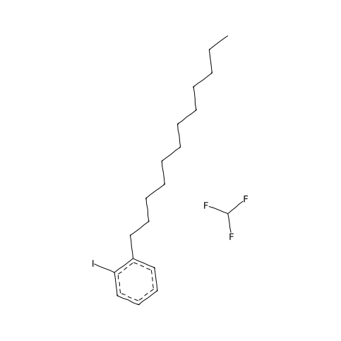 CCCCCCCCCCCCc1ccccc1I.FC(F)F